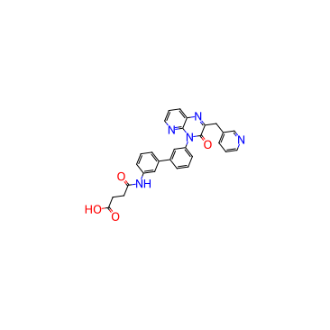 O=C(O)CCC(=O)Nc1cccc(-c2cccc(-n3c(=O)c(Cc4cccnc4)nc4cccnc43)c2)c1